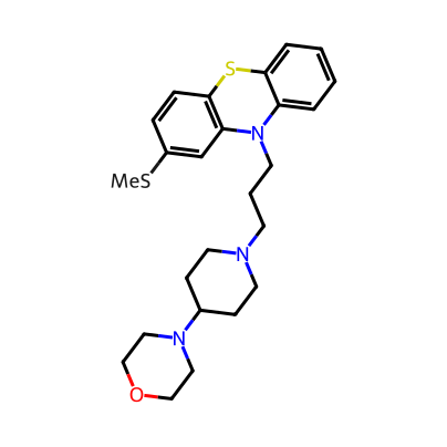 CSc1ccc2c(c1)N(CCCN1CCC(N3CCOCC3)CC1)c1ccccc1S2